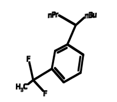 CCCCC(CCC)c1cccc(C(C)(F)F)c1